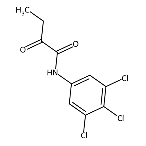 CCC(=O)C(=O)Nc1cc(Cl)c(Cl)c(Cl)c1